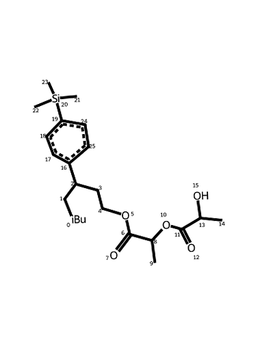 CCC(C)CC(CCOC(=O)C(C)OC(=O)C(C)O)c1ccc([Si](C)(C)C)cc1